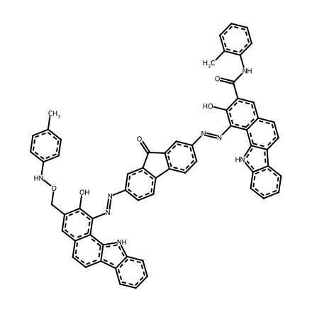 Cc1ccc(NOCc2cc3ccc4c5ccccc5[nH]c4c3c(N=Nc3ccc4c(c3)C(=O)c3cc(N=Nc5c(O)c(C(=O)Nc6ccccc6C)cc6ccc7c8ccccc8[nH]c7c56)ccc3-4)c2O)cc1